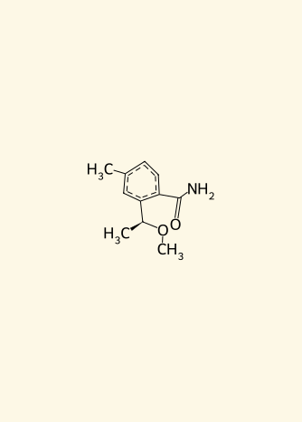 CO[C@@H](C)c1cc(C)ccc1C(N)=O